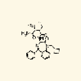 CCCC[C@H](C(N)=O)[C@@H](CC(C)C)C(=O)NC1N=C(c2ccccc2)c2ccccc2N(CC2CCC2)C1=O